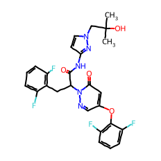 CC(C)(O)Cn1ccc(NC(=O)C(Cc2c(F)cccc2F)n2ncc(Oc3c(F)cccc3F)cc2=O)n1